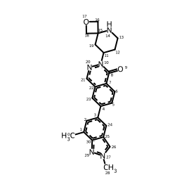 Cc1cc(-c2ccc3c(=O)n(C4CCNC5(COC5)C4)ncc3c2)cc2cn(C)nc12